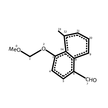 COCOc1ccc(C=O)c2cccc(C)c12